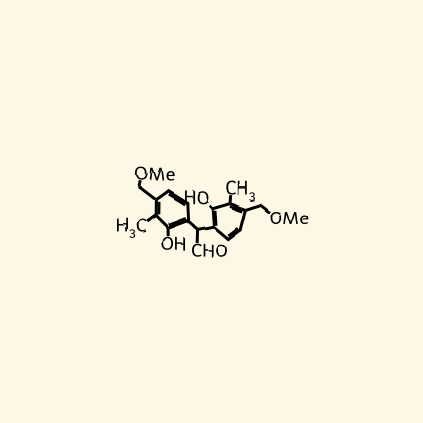 COCc1ccc(C(C=O)c2ccc(COC)c(C)c2O)c(O)c1C